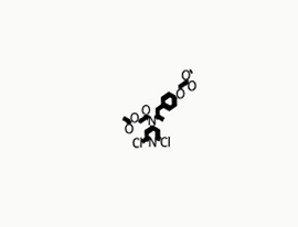 COC(=O)COc1ccc(CC(C)N(C(=O)COC(C)=O)c2cc(Cl)nc(Cl)c2)cc1